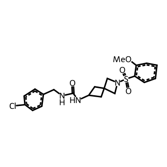 COc1ccccc1S(=O)(=O)N1CC2(CC(NC(=O)NCc3ccc(Cl)cc3)C2)C1